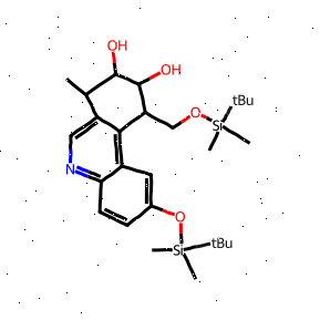 CC1c2cnc3ccc(O[Si](C)(C)C(C)(C)C)cc3c2C(CO[Si](C)(C)C(C)(C)C)C(O)C1O